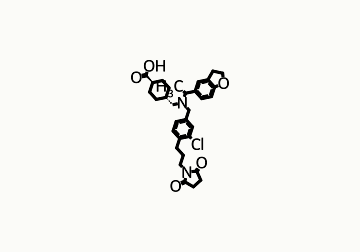 CC(c1ccc2c(c1)CCO2)N(Cc1ccc(CCCN2C(=O)CCC2=O)c(Cl)c1)C[C@H]1CC[C@H](C(=O)O)CC1